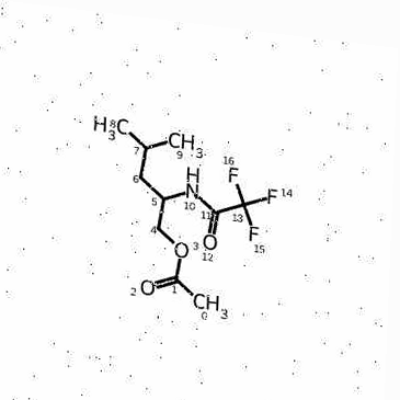 CC(=O)OCC(CC(C)C)NC(=O)C(F)(F)F